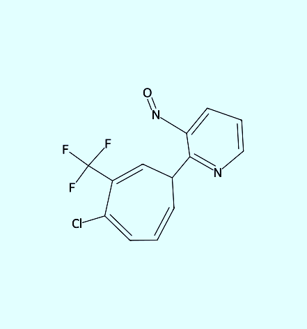 O=Nc1cccnc1C1C=CC=C(Cl)C(C(F)(F)F)=C1